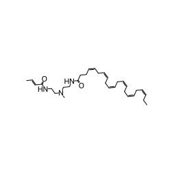 C/C=C/C(=O)NCCN(C)CCNC(=O)CC/C=C\C/C=C\C/C=C\C/C=C\C/C=C\C/C=C\CC